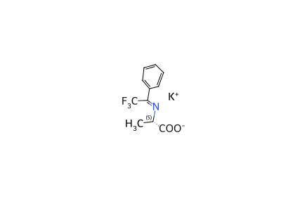 C[C@H](N=C(c1ccccc1)C(F)(F)F)C(=O)[O-].[K+]